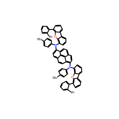 CC(C)c1ccccc1-c1cccc2c1oc1c(N(c3ccc(C(C)(C)C)cc3)c3ccc4ccc5c(N(c6ccc(C(C)(C)C)cc6)c6cccc7c6oc6c(-c8ccccc8C(C)C)cccc67)ccc6ccc3c4c65)cccc12